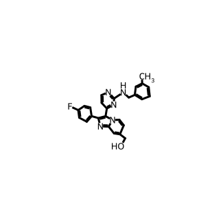 Cc1cccc(CNc2nccc(-c3c(-c4ccc(F)cc4)nc4cc(CO)ccn34)n2)c1